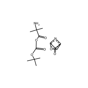 CC(C)(C)OC(=O)OC(=O)C(C)(C)N.O=C1c2coc1n2